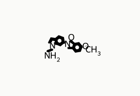 COc1ccc2c(c1)C(=O)N(c1ccc3ccn(CCN)c3c1)C2